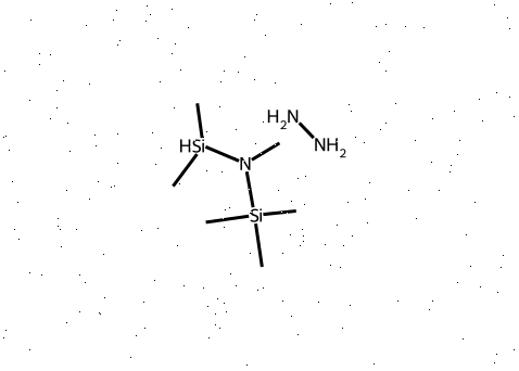 CN([SiH](C)C)[Si](C)(C)C.NN